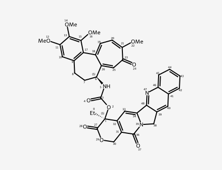 CC[C@@]1(OC(=O)N[C@H]2CCc3cc(OC)c(OC)c(OC)c3-c3ccc(OC)c(=O)cc32)C(=O)OCc2c1cc1n(c2=O)Cc2cc3ccccc3nc2-1